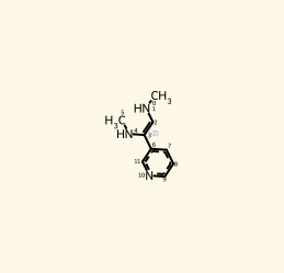 CN/C=C(\NC)c1cccnc1